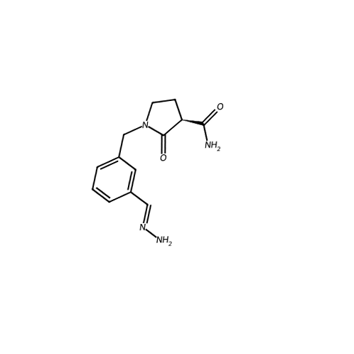 NN=Cc1cccc(CN2CC[C@@H](C(N)=O)C2=O)c1